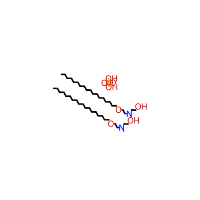 CCCCCCCCCCCCCCCCCCOCCN(C)CCO.CCCCCCCCCCCCCCCCCCOCCN(C)CCO.O=S(=O)(O)O